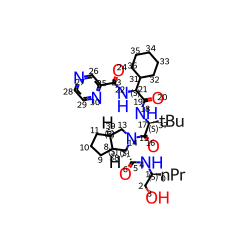 CCC[C@@H](CO)NC(=O)[C@@H]1[C@H]2CCC[C@H]2CN1C(=O)[C@@H](NC(=O)[C@@H](NC(=O)c1cnccn1)C1CCCCC1)C(C)(C)C